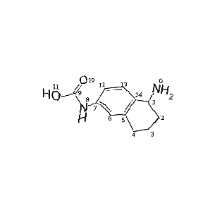 NC1CCCc2cc(NC(=O)O)ccc21